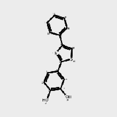 Oc1ccc(-c2nc(-c3ccccc3)cs2)cc1O